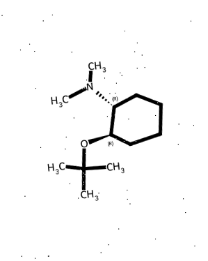 CN(C)[C@@H]1CCCC[C@H]1OC(C)(C)C